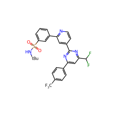 CC(C)(C)NS(=O)(=O)c1cccc(-c2cc(-c3nc(-c4ccc(C(F)(F)F)cc4)cc(C(F)F)n3)ccn2)c1